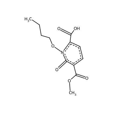 CCCCOn1c(C(=O)O)ccc(C(=O)OC)c1=O